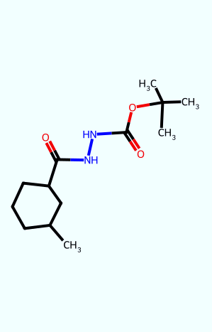 CC1CCCC(C(=O)NNC(=O)OC(C)(C)C)C1